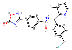 Cc1cccnc1[C@@H](NC(=O)c1ccc(-c2nc(=O)o[nH]2)cc1)c1ccc(CF)cc1